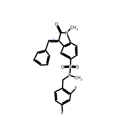 CN1C(=O)/C(=C/c2ccccc2)c2cc(S(=O)(=O)N(C)Cc3ccc(F)cc3F)ccc21